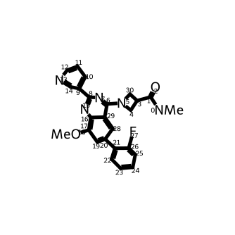 CNC(=O)C1CN(c2nc(-c3cccnc3)nc3c(OC)cc(-c4ccccc4F)cc23)C1